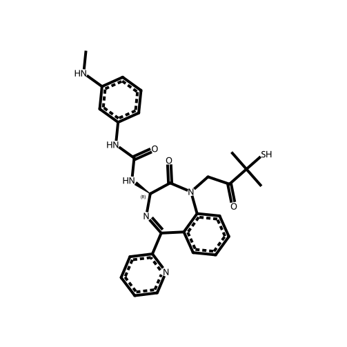 CNc1cccc(NC(=O)N[C@@H]2N=C(c3ccccn3)c3ccccc3N(CC(=O)C(C)(C)S)C2=O)c1